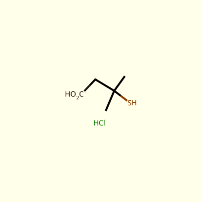 CC(C)(S)CC(=O)O.Cl